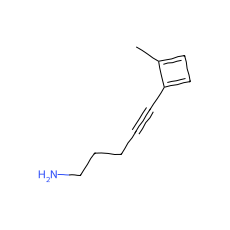 CC1=CC=C1C#CCCCN